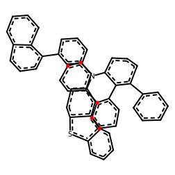 c1ccc(-c2ccccc2-c2c(-c3ccccc3)cccc2N(c2cccc(-c3cccc4ccccc34)c2)c2ccc3sc4ccccc4c3c2)cc1